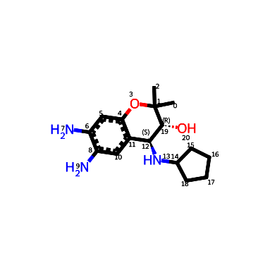 CC1(C)Oc2cc(N)c(N)cc2[C@H](NC2CCCC2)[C@H]1O